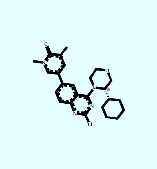 Cc1cc(-c2ccc3nc(Cl)nc(N4CCOC[C@@H]4C4CCCCC4)c3c2)cn(C)c1=O